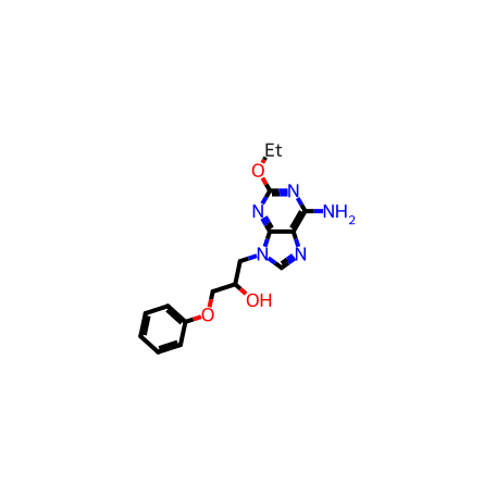 CCOc1nc(N)c2ncn(CC(O)COc3ccccc3)c2n1